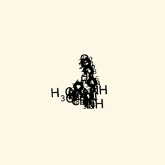 CN(c1ccccc1Nc1nc(Nc2ccc(N3CCC4(CCOCC4)CC3)c(F)c2)nc2[nH]ccc12)S(C)(=O)=O